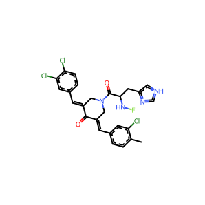 Cc1ccc(/C=C2\CN(C(=O)C(Cc3c[nH]cn3)NF)C/C(=C\c3ccc(Cl)c(Cl)c3)C2=O)cc1Cl